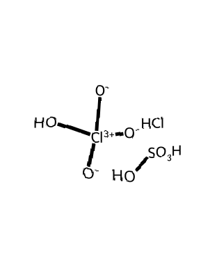 Cl.O=S(=O)(O)O.[O-][Cl+3]([O-])([O-])O